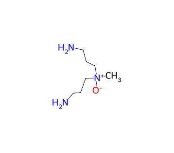 C[N+]([O-])(CCCN)CCCN